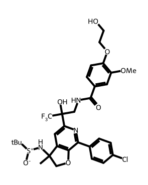 COc1cc(C(=O)NCC(O)(c2cc3c(c(-c4ccc(Cl)cc4)n2)OCC3(C)N[S+]([O-])C(C)(C)C)C(F)(F)F)ccc1OCCO